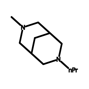 CCCN1CC2CC(CN(C)C2)C1